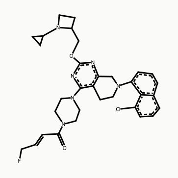 O=C(/C=C/CF)N1CCN(c2nc(OCC3CCN3C3CC3)nc3c2CCN(c2cccc4cccc(Cl)c24)C3)CC1